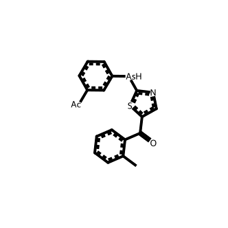 CC(=O)c1cccc([AsH]c2ncc(C(=O)c3ccccc3C)s2)c1